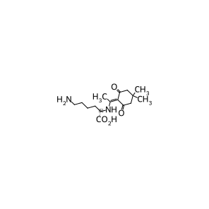 CC(N[C@@H](CCCCN)C(=O)O)=C1C(=O)CC(C)(C)CC1=O